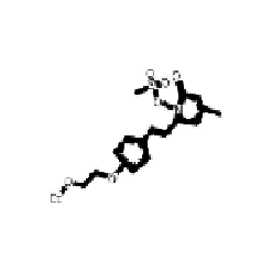 CCOCCOc1ccc(C=Cc2cc(C)cc(=O)n2OS(C)(=O)=O)cc1